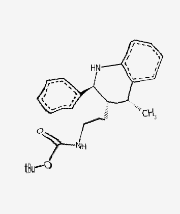 C[C@H]1c2ccccc2N[C@H](c2ccccc2)[C@H]1CCNC(=O)OC(C)(C)C